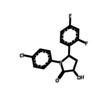 O=C1C(O)CC(c2ccc(F)cc2F)N1c1ccc(Cl)cc1